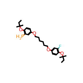 CCC(C)(C)Oc1ccc(OCCCCCCOc2ccc(OC(C)(C)CC)c(P)c2)cc1F